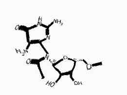 COC[C@H]1O[C@@H](N(C(C)=O)c2nc(N)[nH]c(=O)c2N)C(O)C1O